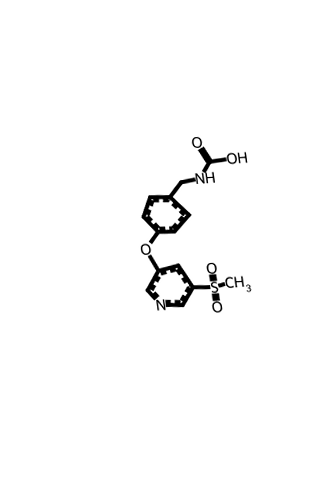 CS(=O)(=O)c1cncc(Oc2ccc(CNC(=O)O)cc2)c1